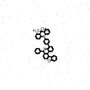 CC1(C)c2ccccc2N(c2ccc(-c3cccc4c3nc(-c3ccccc3)c3ccc5oc6ccccc6c5c34)cc2)c2ccccc21